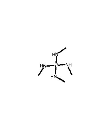 C[NH][Ti]([NH]C)([NH]C)[NH]C